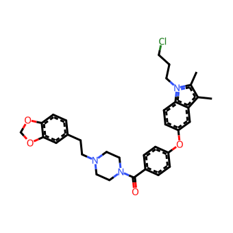 Cc1c(C)n(CCCCl)c2ccc(Oc3ccc(C(=O)N4CCN(CCc5ccc6c(c5)OCO6)CC4)cc3)cc12